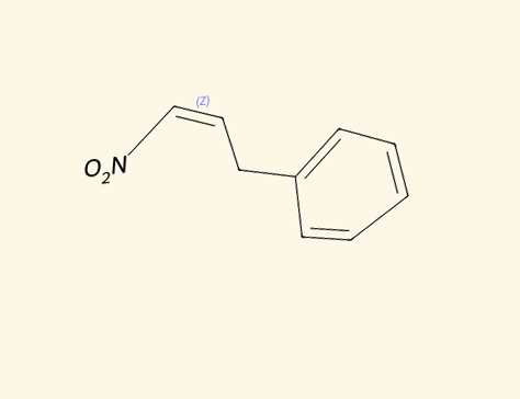 O=[N+]([O-])/C=C\Cc1ccccc1